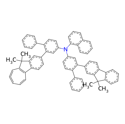 CC1(C)C2=C(C=CC=C=C2)c2ccc(-c3cc(N(c4ccc(-c5ccccc5)c(-c5ccc6c(c5)C(C)(C)c5ccccc5-6)c4)c4cccc5ccccc45)ccc3-c3ccccc3)cc21